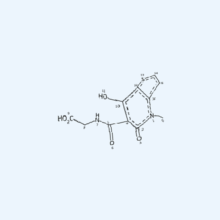 Cn1c(=O)c(C(=O)NCC(=O)O)c(O)c2sccc21